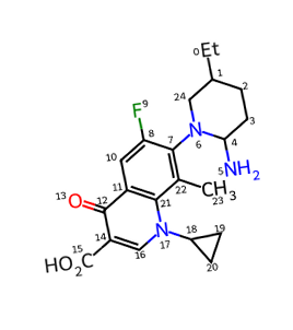 CCC1CCC(N)N(c2c(F)cc3c(=O)c(C(=O)O)cn(C4CC4)c3c2C)C1